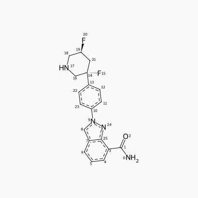 NC(=O)c1cccc2cn(-c3ccc([C@@]4(F)CNC[C@@H](F)C4)cc3)nc12